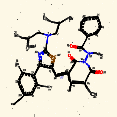 CCCCC(CC)CN(CC(CC)CCCC)c1nc(-c2c(C(C)C)cc(C)cc2C(C)C)c(/C=C2\C(=O)N(N(C(C)=O)C(=O)c3ccccc3)C(=O)C(C#N)=C2C)s1